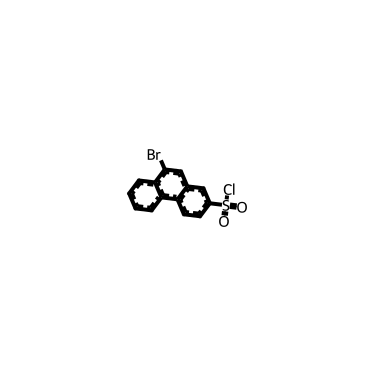 O=S(=O)(Cl)c1ccc2c(c1)cc(Br)c1ccccc12